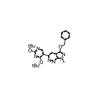 Cn1nc(OCc2ccccc2)c2cc(-c3cnc(OC(C)(C)C)nc3OC(C)(C)C)nnc21